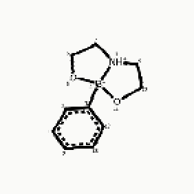 c1ccc([B-]23OCC[NH+]2CCO3)cc1